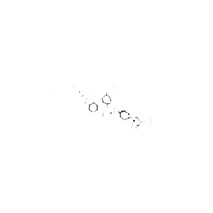 CCCC(c1ccc(C(=O)NCCC(=O)O)cc1)C(C(=O)Nc1ccc(-n2cc(C(F)(F)F)cn2)cc1)c1ccc(OC(F)(F)F)cc1